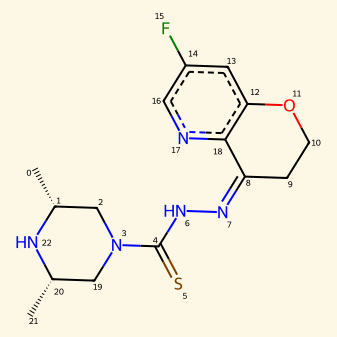 C[C@@H]1CN(C(=S)N/N=C2/CCOc3cc(F)cnc32)C[C@H](C)N1